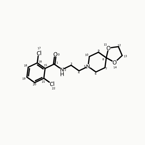 O=C(NCCN1CCC2(CC1)OCCO2)c1c(Cl)cccc1Cl